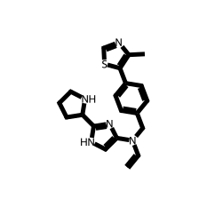 C=CN(Cc1ccc(-c2scnc2C)cc1)c1c[nH]c(C2CCCN2)n1